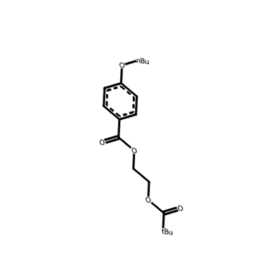 CCCCOc1ccc(C(=O)OCCOC(=O)C(C)(C)C)cc1